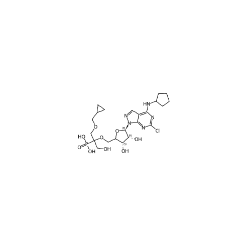 O=P(O)(O)C(CO)(COCC1CC1)OCC1O[C@@H](n2ncc3c(NC4CCCC4)nc(Cl)nc32)[C@H](O)[C@@H]1O